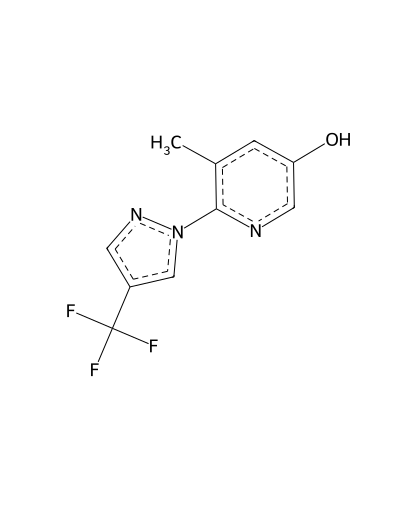 Cc1cc(O)cnc1-n1cc(C(F)(F)F)cn1